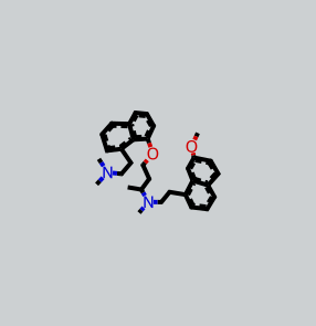 COc1ccc2cccc(CCN(C)C(C)CCOc3cccc4cccc(CCN(C)C)c34)c2c1